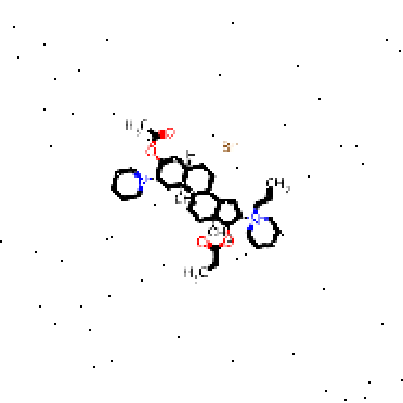 C=CC[N+]1([C@H]2CC3C4CC[C@H]5C[C@H](OC(C)=O)[C@@H](N6CCCCC6)C[C@]5(C)C4CC[C@]3(C)[C@@H]2OC(=O)CC)CCCCC1.[Br-]